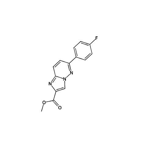 COC(=O)c1cn2nc(-c3ccc(F)cc3)ccc2n1